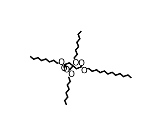 CCCCCCCCCCCCOC(=O)CC(CC(=O)OCCCCCCCC)(OCCCCCCCC)C(=O)OCCCCCCCC